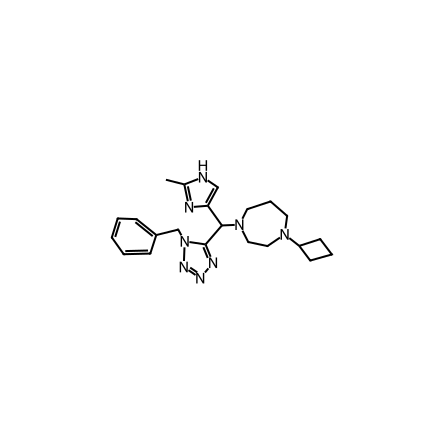 Cc1nc(C(c2nnnn2Cc2ccccc2)N2CCCN(C3CCC3)CC2)c[nH]1